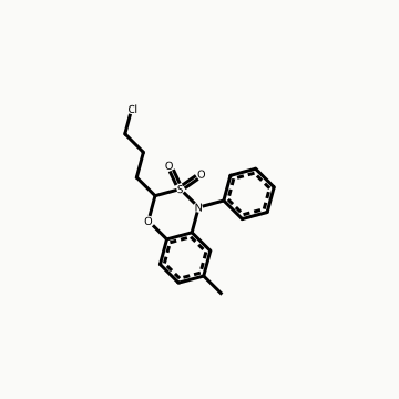 Cc1ccc2c(c1)N(c1ccccc1)S(=O)(=O)C(CCCCl)O2